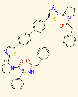 O=C(Cc1ccccc1)N[C@@H](C(=O)N1CCC[C@H]1c1ncc(-c2ccc(-c3ccc(-c4cnc([C@@H]5CCCN5C(=O)Cc5ccccc5)s4)cc3)cc2)s1)c1ccccc1